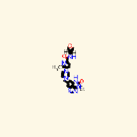 CCN1C(=O)Nc2cc(CN3CCN(c4ccc(C(=O)NC5[C@H]6COC[C@@H]56)nc4C)CC3)cc3ncnc1c23